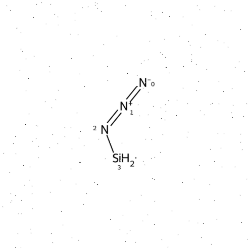 [N-]=[N+]=N[SiH2]